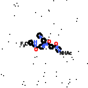 CC(=O)NN1CCN(C(=O)c2cccc(C(=O)Nc3ccc(N4CCCCC4)cc3-c3cc(C(=O)NCc4cccc(C(F)(F)F)c4)ccn3)c2)CC1